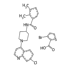 Cc1cccc(C(=O)NC2CCN(c3ccnc4cc(Cl)ccc34)CC2)c1C.O=C(O)c1sccc1Br